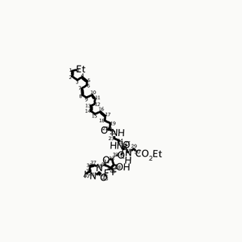 CC/C=C\C/C=C\C/C=C\C/C=C\C/C=C\C/C=C\CCC(=O)NCCNP(=O)(NCC(=O)OCC)OC[C@H]1O[C@@H](n2ccc(I)nc2=O)C(F)(F)[C@@H]1O